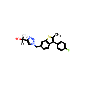 CCC(O)(c1cn(Cc2ccc3c(-c4ccc(F)cc4)c(C)sc3c2)nn1)C(F)(F)F